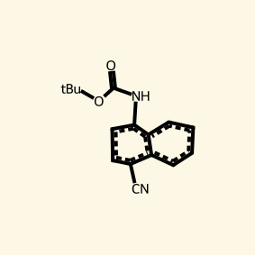 CC(C)(C)OC(=O)Nc1ccc(C#N)c2ccccc12